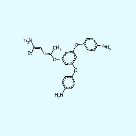 CC/C(N)=C\C=C(/C)Oc1cc(Oc2ccc(N)cc2)cc(Oc2ccc(N)cc2)c1